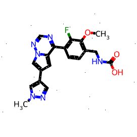 COc1c(CNC(=O)O)ccc(-c2ncnn3cc(-c4cnn(C)c4)cc23)c1F